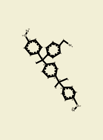 [2H]Cc1ccc(C(C)(c2ccc(O[2H])cc2)c2ccc(C(C)(C)c3ccc(O[2H])cc3)cc2)cc1